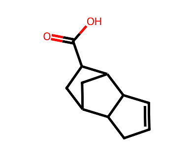 O=C(O)C1CC2CC1C1C=CCC21